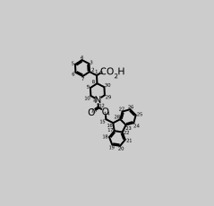 O=C(O)C(c1ccccc1)C1CCN(C(=O)OCC2c3ccccc3-c3ccccc32)CC1